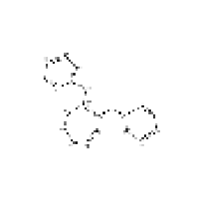 C1=CC(Cc2ccccc2)=C(Cc2ccccc2)CCC1